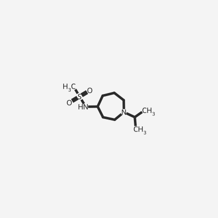 CC(C)N1CCCC(NS(C)(=O)=O)CC1